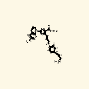 COC(=O)c1nc(N2CCCc3c2nnc(Cl)c3C)sc1CCCOc1ccc(C#CCN)cc1F